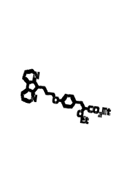 CCOC(=O)C(Cc1ccc(OCCCC2c3ncccc3-c3cccnc32)cc1)OCC